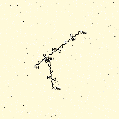 CCCCCCCCCCCCCC(=O)NCCOCCOCC(=O)NCCCC[C@H](NC(=O)COCCOCCNC(=O)CCCCCCCCCCCCC)C(=O)NCCOCCO